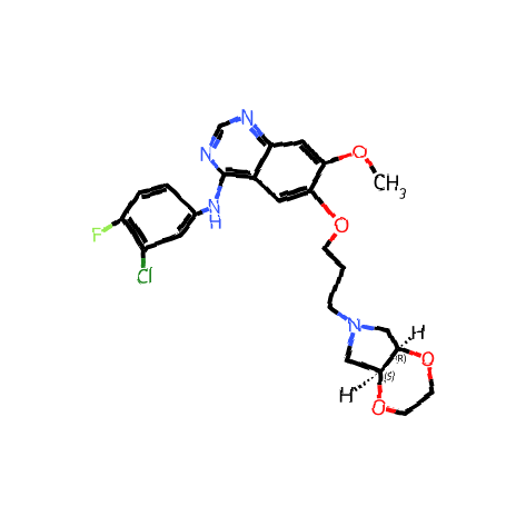 COc1cc2ncnc(Nc3ccc(F)c(Cl)c3)c2cc1OCCCN1C[C@@H]2OCCO[C@@H]2C1